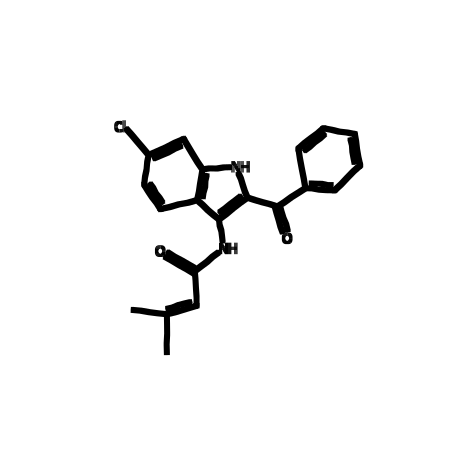 CC(C)=CC(=O)Nc1c(C(=O)c2ccccc2)[nH]c2cc(Cl)ccc12